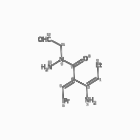 CC/C=C(N)\C(=C/C(C)C)C(=O)N(N)CC=O